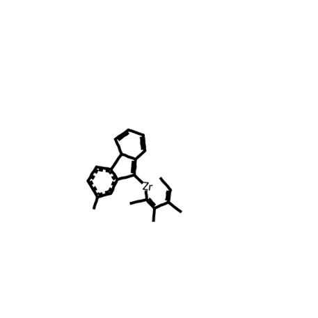 CC=C(C)C(C)=[C](C)[Zr][C]1=C2C=CC=CC2c2ccc(C)cc21